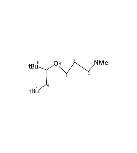 CNCCCOC(CC(C)(C)C)C(C)(C)C